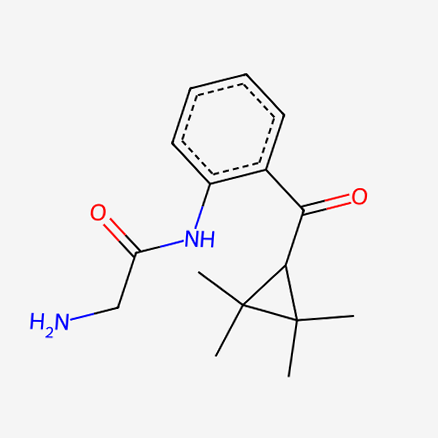 CC1(C)C(C(=O)c2ccccc2NC(=O)CN)C1(C)C